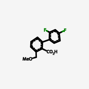 COCc1cccc(-c2ccc(F)cc2F)c1C(=O)O